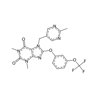 Cc1ncc(Cn2c(Oc3cccc(OC(F)(F)F)c3)nc3c2c(=O)n(C)c(=O)n3C)cn1